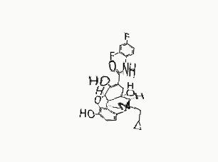 O=C(Nc1ccc(F)cc1F)C1=C(O)[C@@H]2Oc3c(O)ccc4c3[C@@]23CCN(CC2CC2)[C@H](C4)[C@]3(O)C1